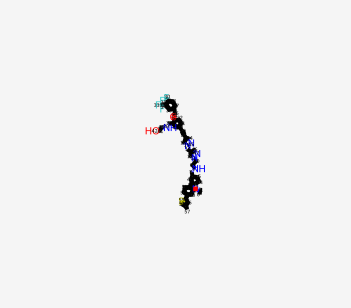 CCn1c2ccc(CNCCn3cc(Cn4cc(C#Cc5ccc(OCc6ccc(F)c(C(F)(F)F)c6)c(CNCCO)c5)cn4)cn3)cc2c2ccc(-c3cc(C)cs3)cc21